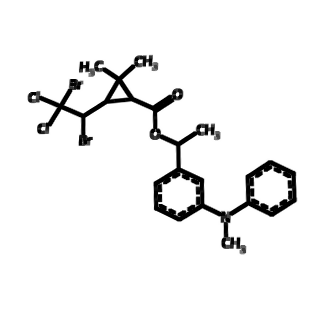 CC(OC(=O)C1C(C(Br)C(Cl)(Cl)Br)C1(C)C)c1cccc(N(C)c2ccccc2)c1